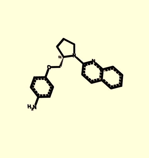 Nc1ccc(OC[C@@H]2CCCN2c2ccc3ccccc3n2)cc1